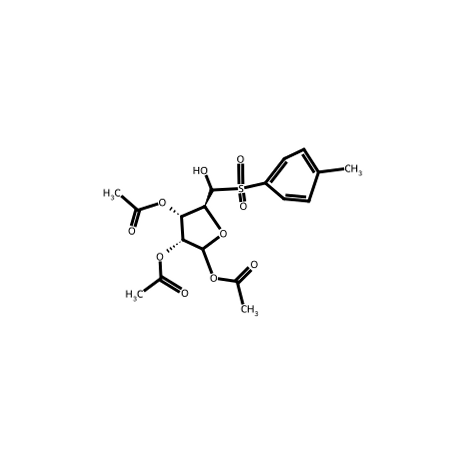 CC(=O)OC1O[C@H](C(O)S(=O)(=O)c2ccc(C)cc2)[C@@H](OC(C)=O)[C@H]1OC(C)=O